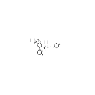 O=C(NCCCc1ccc(Cl)cc1)c1cc2nc[nH]c(=O)c2cc1-c1cccc(Cl)c1